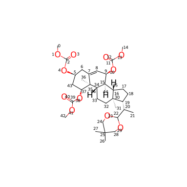 COC(=O)O[C@H]1CC2=C[C@@H](OC(=O)OC)[C@H]3[C@@H]4CC[C@H](C(C)C5OCC(C)(C)CO5)[C@@]4(C)CC[C@@H]3[C@@]2(C)[C@@H](OC(=O)OC)C1